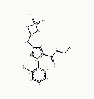 CCOC(=O)c1cc(OC2CS(=O)(=O)C2)nn1-c1ncccc1Cl